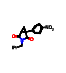 CC(C)CN1C(=O)C2CC2(c2ccc([N+](=O)[O-])cc2)C1=O